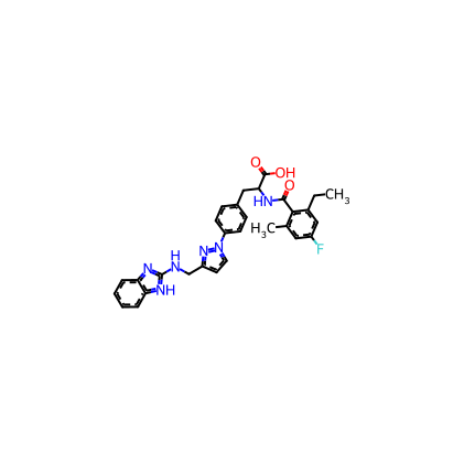 CCc1cc(F)cc(C)c1C(=O)NC(Cc1ccc(-n2ccc(CNc3nc4ccccc4[nH]3)n2)cc1)C(=O)O